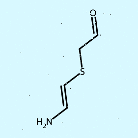 NC=CSC[C]=O